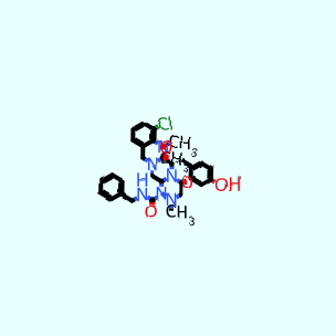 CN(C)c1c(Cl)cccc1CN1CC2N(C(=O)CN(C)N2C(=O)NCc2ccccc2)[C@@H](Cc2ccc(O)cc2)C1=O